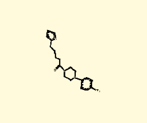 O=C(CCCCc1cccs1)N1CCN(c2ccc(C(F)(F)F)cc2)CC1